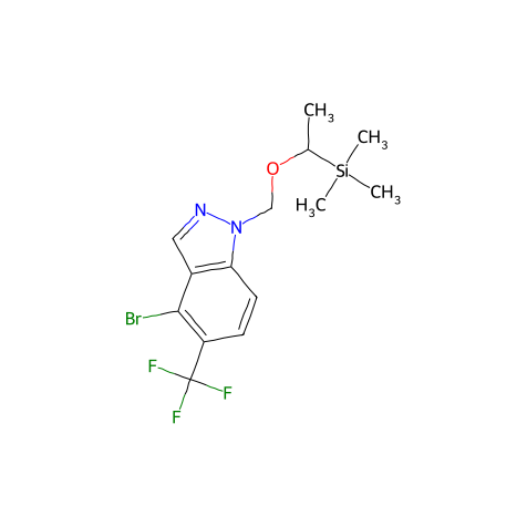 CC(OCn1ncc2c(Br)c(C(F)(F)F)ccc21)[Si](C)(C)C